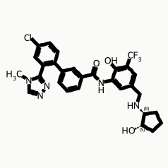 Cn1cnnc1-c1cc(Cl)ccc1-c1cccc(C(=O)Nc2cc(CN[C@@H]3CCC[C@@H]3O)cc(C(F)(F)F)c2O)c1